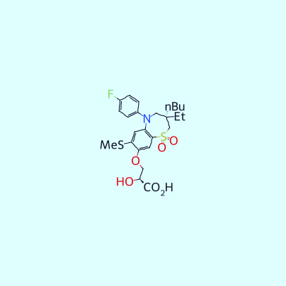 CCCC[C@@]1(CC)CN(c2ccc(F)cc2)c2cc(SC)c(OC[C@H](O)C(=O)O)cc2S(=O)(=O)C1